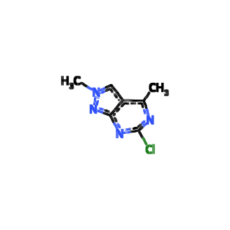 Cc1nc(Cl)nc2nn(C)cc12